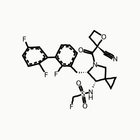 N#C[C@@]1(C(=O)N2CC3(CC3)[C@H](NS(=O)(=O)CF)[C@@H]2Cc2cccc(-c3cc(F)ccc3F)c2F)CCO1